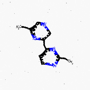 Cc1cncc(-c2ccnc(C)n2)n1